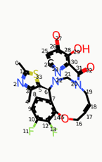 Cc1nc(C)c([C@@H]2c3ccc(F)c(F)c3OC/C=C\CN3CN2n2ccc(=O)c(O)c2C3=O)s1